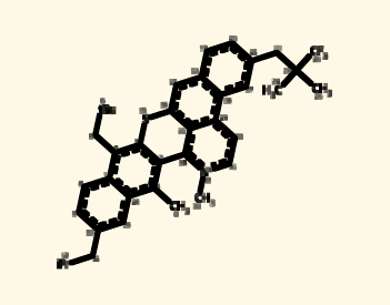 Cc1c2c(c(CC(C)(C)C)c3ccc(CC(C)C)cc13)Sc1cc3ccc(CC(C)(C)C(F)(F)F)cc3c3cc[n+](C)c-2c13